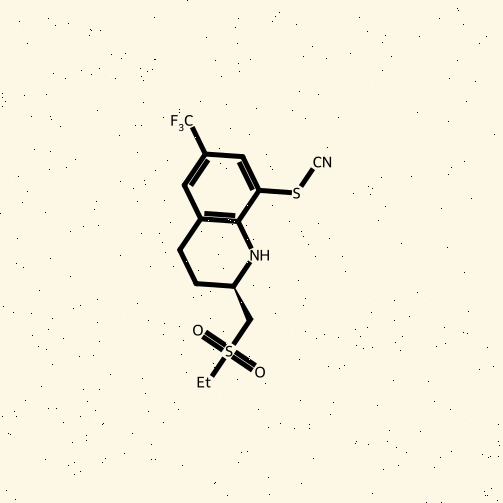 CCS(=O)(=O)C[C@H]1CCc2cc(C(F)(F)F)cc(SC#N)c2N1